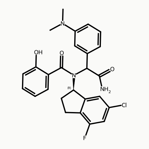 CN(C)c1cccc(C(C(N)=O)N(C(=O)c2ccccc2O)[C@@H]2CCc3c(F)cc(Cl)cc32)c1